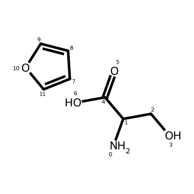 NC(CO)C(=O)O.c1ccoc1